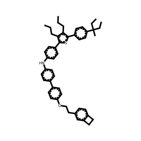 CCCc1c(-c2ccc(Nc3ccc(-c4ccc(OCCc5ccc6c(c5)CC6)cc4)cc3)cc2)sc(-c2ccc(C(C)(CC)CC)cc2)c1CCC